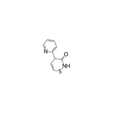 O=C1NSC=CC1c1ccccn1